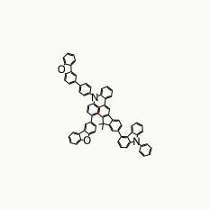 CC1(C)c2ccc(-c3ccccc3N(c3ccc(-c4ccc5oc6ccccc6c5c4)cc3)c3ccc(-c4ccc5oc6ccccc6c5c4)cc3)cc2-c2ccc(-c3cccc4c3c3ccccc3n4-c3ccccc3)cc21